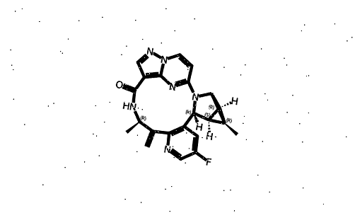 C=C1c2ncc(F)cc2[C@H]2[C@H]3[C@H]4C(N2c2ccn5ncc(c5n2)C(=O)N[C@@H]1C)[C@@]34C